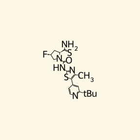 Cc1nc(NC(=O)N2C[C@@H](F)C[C@H]2C(N)=S)sc1-c1ccnc(C(C)(C)C)c1